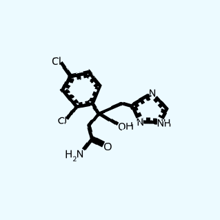 NC(=O)CC(O)(Cc1nc[nH]n1)c1ccc(Cl)cc1Cl